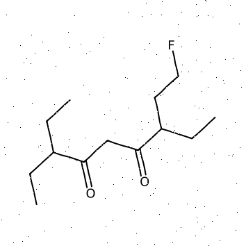 CCC(CC)C(=O)CC(=O)C(CC)CCF